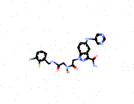 CC(C)N(CC(=O)NCc1cccc(Cl)c1F)C(=O)Cn1nc(C(N)=O)c2cc(Nc3cncnc3)ccc21